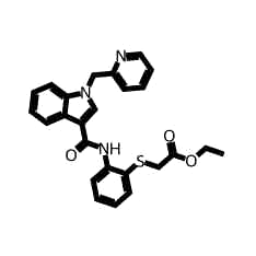 CCOC(=O)CSc1ccccc1NC(=O)c1cn(Cc2ccccn2)c2ccccc12